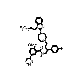 COc1ccc(C2C=NN=N2)cc1C(=O)N(C)CC(CCN1CCCN(c2nc3ccccc3n2CCOC(F)(F)F)CC1)c1ccc(F)cc1